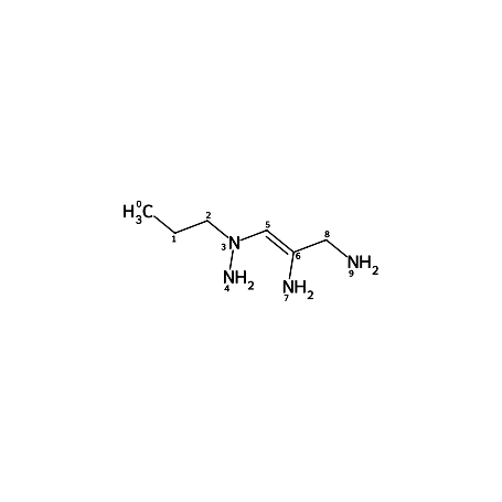 CCCN(N)/C=C(\N)CN